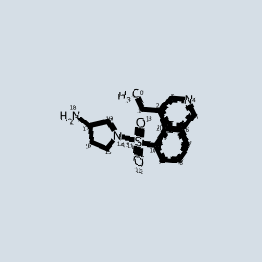 CCc1cncc2cccc(S(=O)(=O)N3CCC(N)C3)c12